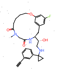 C#Cc1cccc(C2(NC[C@@H](O)[C@@H]3Cc4cc(F)cc(c4)OCCCCC(=O)N(C)CC(=O)N3)CC2)c1